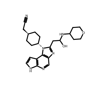 N#CC[C@H]1CC[C@H](n2c(CC(O)NC3CCOCC3)nc3cnc4[nH]ccc4c32)CC1